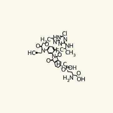 C#CCN1C(=O)COc2cc(F)c(N3C(=O)C4=C(CCCC4)C3=O)cc21.CCNc1nc(Cl)nc(NC(C)C)n1.CP(=O)(O)CCC(N)C(=O)O